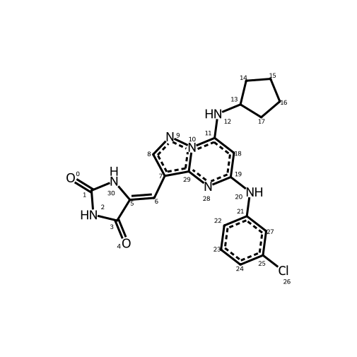 O=C1NC(=O)/C(=C/c2cnn3c(NC4CCCC4)cc(Nc4cccc(Cl)c4)nc23)N1